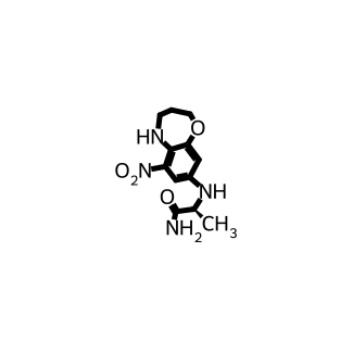 C[C@H](Nc1cc2c(c([N+](=O)[O-])c1)NCCCO2)C(N)=O